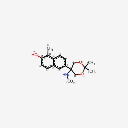 CC1(C)OCC(NC(=O)O)(c2ccc3c(C(F)(F)F)c(O)ccc3c2)CO1